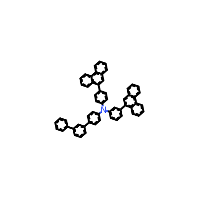 c1ccc(-c2cccc(-c3ccc(N(c4ccc(-c5cc6ccccc6c6ccccc56)cc4)c4cccc(-c5cc6ccccc6c6ccccc56)c4)cc3)c2)cc1